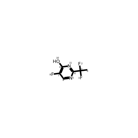 CC(F)(F)c1ncc(F)c(O)n1